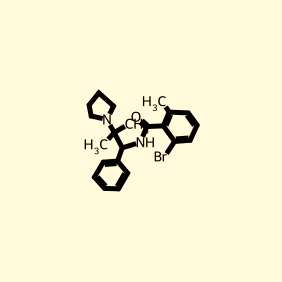 Cc1cccc(Br)c1C(=O)NC(c1ccccc1)C(C)(C)N1CCCC1